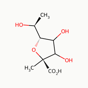 C[C@H](O)[C@H]1O[C@](C)(C(=O)O)C(O)C1O